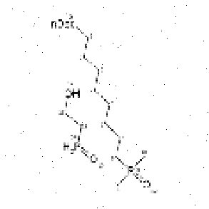 CCCCCCCCCCCCCCCCCCP(C)(C)=O.O=[PH2]CCO